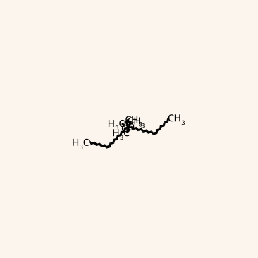 CCCCCCCC/C=C\CCCCCCCCOC(CC)(OCCCCCCCC/C=C\CCCCCCCC)[N+](CC)(CC)CC